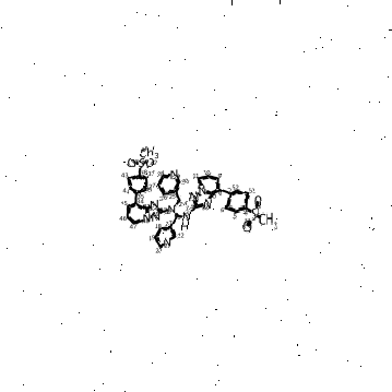 CS(=O)(=O)c1ccc(-c2cccn3nc(NC(c4cccnc4)N(Cc4cccnc4)c4nc5c(-c6ccc(S(C)(=O)=O)cc6)cccn5n4)nc23)cc1